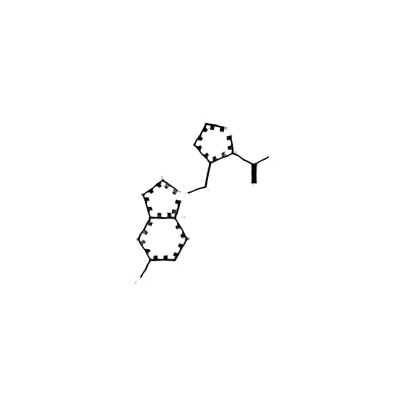 O=C(O)c1occc1Cn1ccc2cc(Br)ccc21